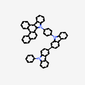 c1ccc(-n2c3ccccc3c3cc(-c4ccc5c6ccccc6n(-c6ccc(-n7c8ccccc8c8c9ccccc9c9c%10ccccc%10ccc9c87)cc6)c5c4)ccc32)cc1